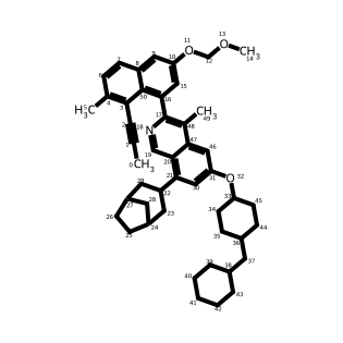 CC#Cc1c(C)ccc2cc(OCOC)cc(-c3ncc4c(C5CC6CCC(C6)C5)cc(OC5CCC(CC6CCCCC6)CC5)cc4c3C)c12